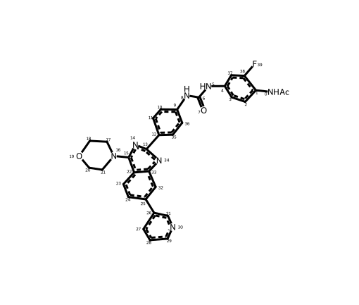 CC(=O)Nc1ccc(NC(=O)Nc2ccc(-c3nc(N4CCOCC4)c4ccc(-c5cccnc5)cc4n3)cc2)cc1F